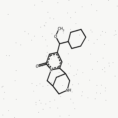 COC(c1cc2n(c(=O)c1)CC1CNCC2C1)C1CCCCC1